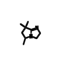 CC1CC(C)(C)C2=NCCN21